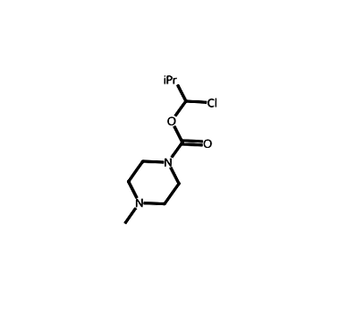 CC(C)C(Cl)OC(=O)N1CCN(C)CC1